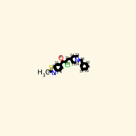 Cc1nc2ccc(C(=O)C(Cl)CC3CCN(Cc4ccccc4)CC3)cc2s1